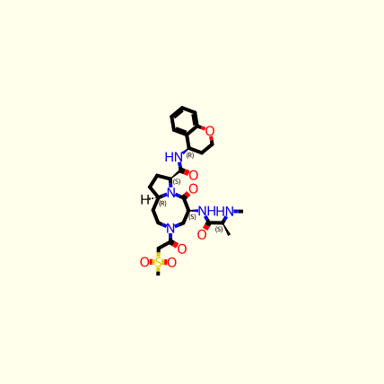 CN[C@@H](C)C(=O)N[C@H]1CN(C(=O)CS(C)(=O)=O)CC[C@H]2CC[C@@H](C(=O)N[C@@H]3CCOc4ccccc43)N2C1=O